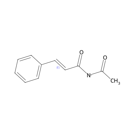 CC(=O)[N]C(=O)/C=C/c1ccccc1